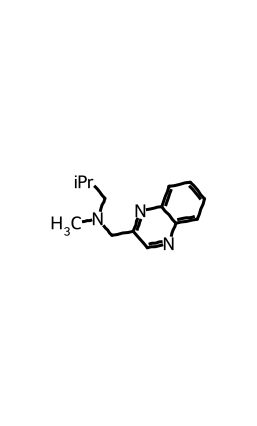 CC(C)CN(C)Cc1cnc2ccccc2n1